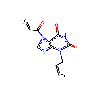 C=CCn1c(=O)[nH]c(=O)c2c1ncn2C(=O)C=C